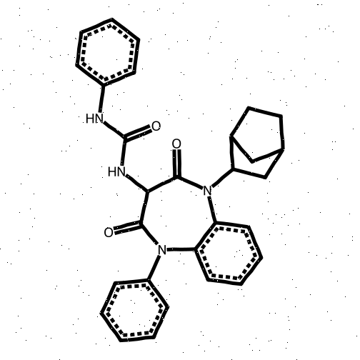 O=C(Nc1ccccc1)NC1C(=O)N(c2ccccc2)c2ccccc2N(C2CC3CCC2C3)C1=O